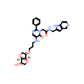 O=C(Cn1c(-c2ccccc2)ncc(NCCCO[C@@H]2CO[C@H]3[C@@H]2OC[C@H]3O)c1=O)NCc1cc2cnccc2[nH]1